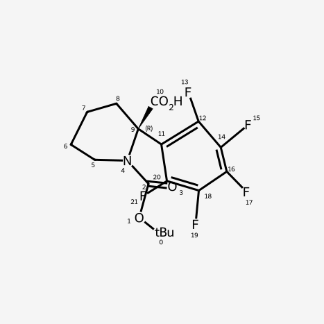 CC(C)(C)OC(=O)N1CCCC[C@]1(C(=O)O)c1c(F)c(F)c(F)c(F)c1F